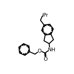 CC(C)Cc1ccc2c(c1)CC(NC(=O)OCc1ccccc1)C2